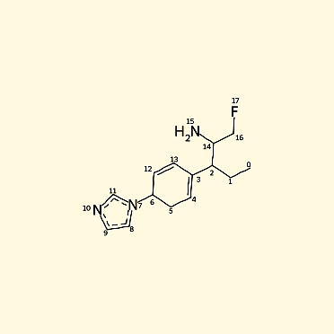 CCC(C1=CCC(n2ccnc2)C=C1)C(N)CF